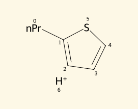 [CH2]CCc1cccs1.[H+]